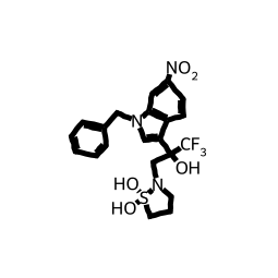 O=[N+]([O-])c1ccc2c(C(O)(CN3CCCS3(O)O)C(F)(F)F)cn(Cc3ccccc3)c2c1